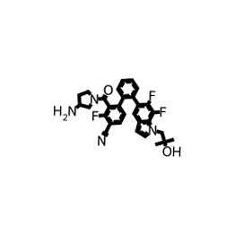 CC(C)(O)Cn1ccc2cc(-c3ccccc3-c3ccc(C#N)c(F)c3C(=O)N3CCC(N)C3)c(F)c(F)c21